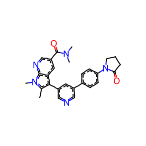 Cc1c(-c2cncc(-c3ccc(N4CCCC4=O)cc3)c2)c2cc(C(=O)N(C)C)cnc2n1C